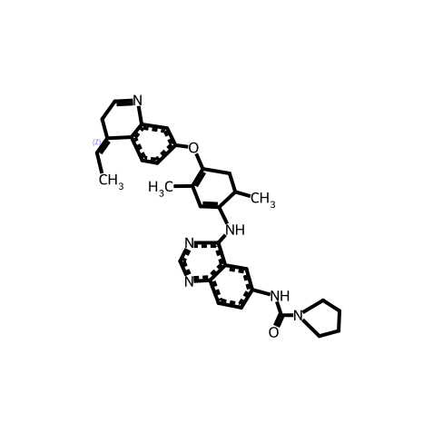 C/C=C1/CC=Nc2cc(OC3=C(C)C=C(Nc4ncnc5ccc(NC(=O)N6CCCC6)cc45)C(C)C3)ccc21